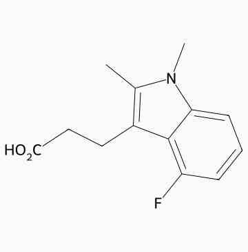 Cc1c(CCC(=O)O)c2c(F)cccc2n1C